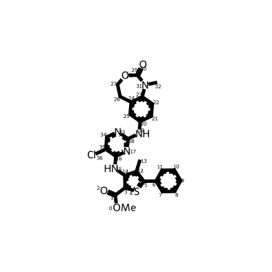 COC(=O)c1sc(-c2ccccc2)c(C)c1Nc1nc(Nc2ccc3c(c2)CCOC(=O)N3C)ncc1Cl